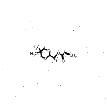 C=CC(=O)OC(CC)C1OCC(C)(C)CO1